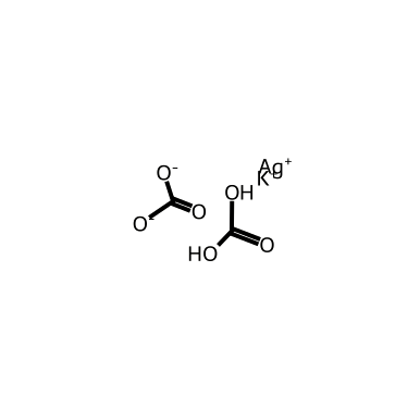 O=C(O)O.O=C([O-])[O-].[Ag+].[K+]